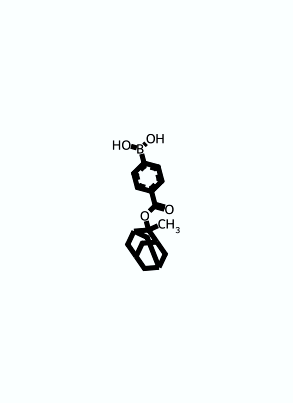 CC1(OC(=O)c2ccc(B(O)O)cc2)C2CC3CC(C2)CC1C3